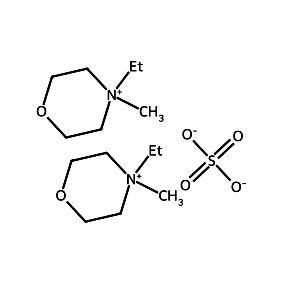 CC[N+]1(C)CCOCC1.CC[N+]1(C)CCOCC1.O=S(=O)([O-])[O-]